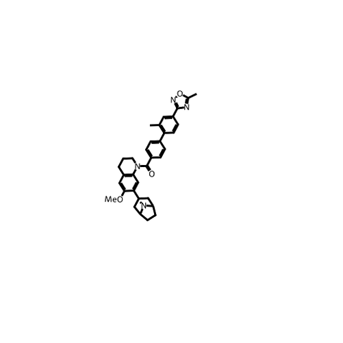 COc1cc2c(cc1C1CC3CCC(C1)N3C)N(C(=O)c1ccc(-c3ccc(-c4noc(C)n4)cc3C)cc1)CCC2